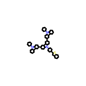 c1ccc(-n2c3ccccc3c3cc(-c4ccc5c(c4)c4cc(-c6ccc7c(c6)c6ccccc6n7-c6ccccc6)ccc4n5-c4ccc(-c5cc6ccccc6s5)cc4)ccc32)cc1